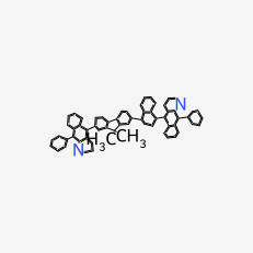 CC1(C)c2cc(-c3ccc(-c4c5ccccc5c(-c5ccccc5)c5ncccc45)c4ccccc34)ccc2-c2ccc(-c3c4ccccc4c(-c4ccccc4)c4ncccc34)cc21